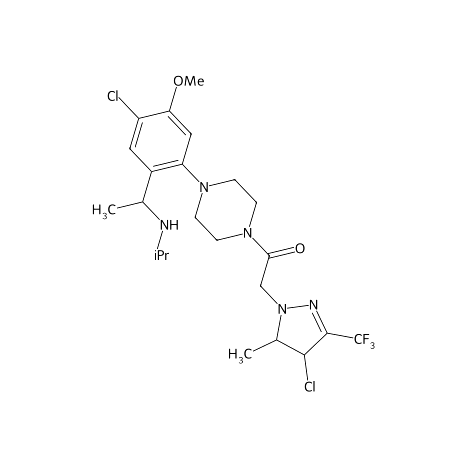 COc1cc(N2CCN(C(=O)CN3N=C(C(F)(F)F)C(Cl)C3C)CC2)c(C(C)NC(C)C)cc1Cl